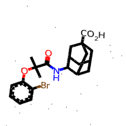 CC(C)(Oc1ccccc1Br)C(=O)NC1C2CC3CC1CC(C(=O)O)(C3)C2